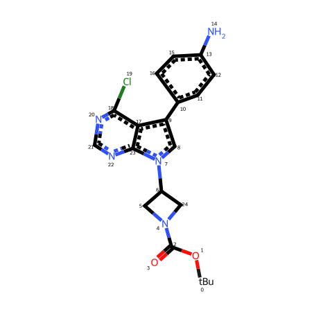 CC(C)(C)OC(=O)N1CC(n2cc(-c3ccc(N)cc3)c3c(Cl)ncnc32)C1